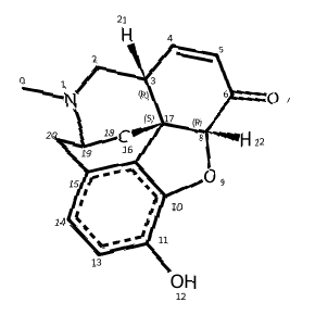 CN1C[C@@H]2C=CC(=O)[C@@H]3Oc4c(O)ccc5c4[C@]23CC1C5